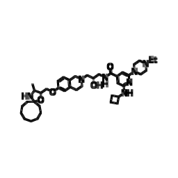 CCN1CCN(c2cc(C(=O)NC[C@H](O)CN3CCc4cc(OCC5OC6(CCCCCCCC6)NC5C)ccc4C3)cc(NC3CCC3)n2)CC1